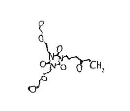 C=CC(=O)CCCn1c(=O)n(CCOCC=O)c(=O)n(CCOCC=O)c1=O